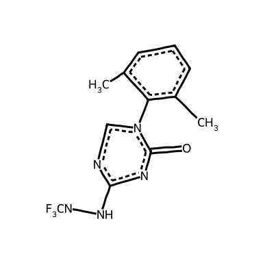 Cc1cccc(C)c1-n1cnc(NNC(F)(F)F)nc1=O